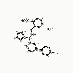 Cl.O=C(O)c1ccccc1CNC(c1nccc(-c2ccc(F)cc2)n1)c1cccs1